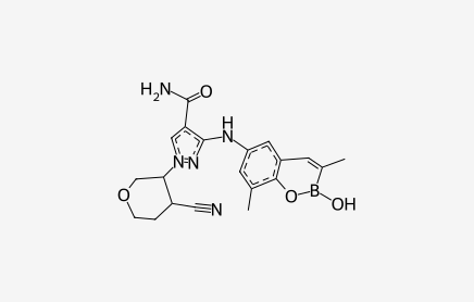 CC1=Cc2cc(Nc3nn(C4COCCC4C#N)cc3C(N)=O)cc(C)c2OB1O